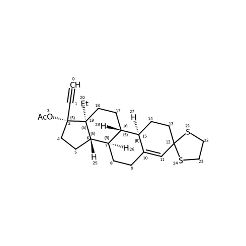 C#C[C@]1(OC(C)=O)CC[C@H]2[C@@H]3CCC4=CC5(CC[C@@H]4[C@H]3CC[C@@]21CC)SCCS5